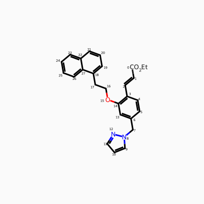 CCOC(=O)C=Cc1ccc(Cn2cccn2)cc1OCCc1cccc2ccccc12